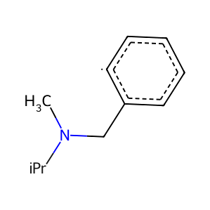 CC(C)N(C)Cc1[c]cccc1